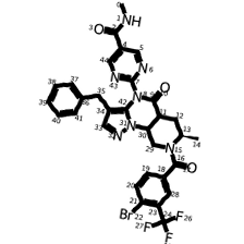 CNC(=O)c1cnc(N2C(=O)C3C[C@@H](C)N(C(=O)c4ccc(Br)c(C(F)(F)F)c4)CC3n3ncc(Cc4ccccc4)c32)nc1